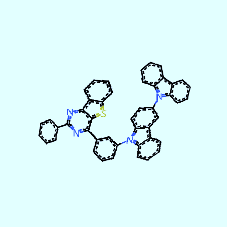 c1ccc(-c2nc(-c3cccc(-n4c5ccccc5c5cc(-n6c7ccccc7c7ccccc76)ccc54)c3)c3sc4ccccc4c3n2)cc1